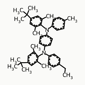 CCc1ccc(N(c2ccc(N(c3ccc(C)cc3)c3c(C)cc(C(C)(C)C)cc3C)cc2)c2c(C)cc(C(C)(C)C)cc2C)cc1